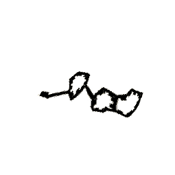 [CH]=Cc1cccc(-c2ccc3ccccc3c2)c1